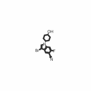 N#Cc1cc2c(Br)cn([C@H]3CC[C@H](O)CC3)c2cc1F